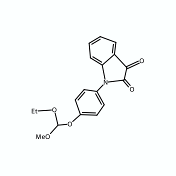 CCOC(OC)Oc1ccc(N2C(=O)C(=O)c3ccccc32)cc1